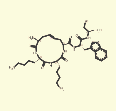 CC(C)C[C@H](NC(=O)[C@H](Cc1csc2ccccc12)NC(=O)[C@@H]1C/C=C/C[C@H](N)C(=O)N[C@@H](CCCCN)C(=O)N[C@@H](CCCCN)C(=O)N1)C(=O)O